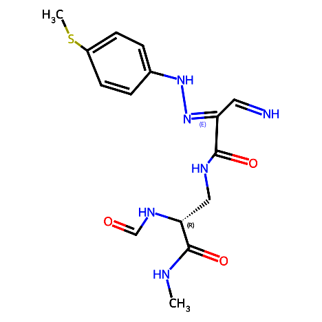 CNC(=O)[C@@H](CNC(=O)/C(C=N)=N/Nc1ccc(SC)cc1)NC=O